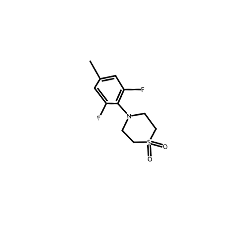 Cc1cc(F)c(N2CCS(=O)(=O)CC2)c(F)c1